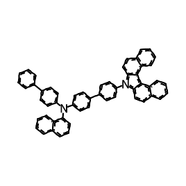 c1ccc(-c2ccc(N(c3ccc(-c4ccc(-n5c6ccc7ccccc7c6c6c7ccccc7ccc65)cc4)cc3)c3cccc4ccccc34)cc2)cc1